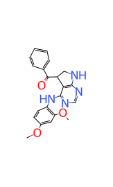 COc1ccc(Nc2ncnc3c2C(C(=O)c2ccccc2)CN3)c(OC)c1